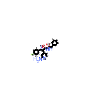 Nc1cc(-c2c(-c3ccc(F)cc3)noc2NC(=O)Cc2ccccc2)ccn1